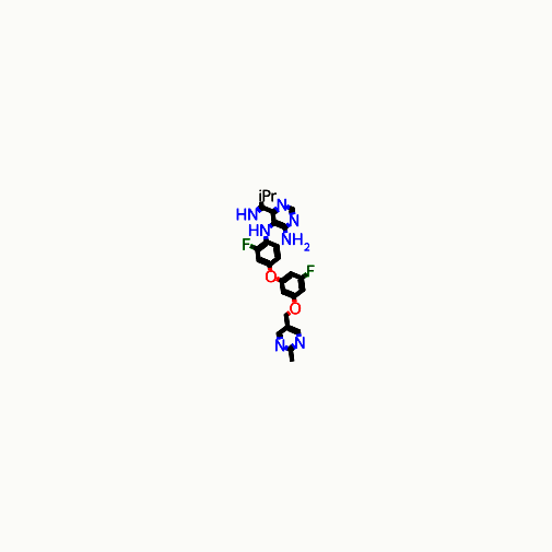 Cc1ncc(COc2cc(F)cc(Oc3ccc(Nc4c(N)ncnc4C(=N)C(C)C)c(F)c3)c2)cn1